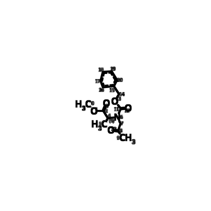 COC(=O)[C@H](C)N(CC(C)=O)C(=O)OCc1ccccc1